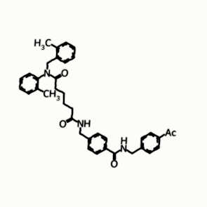 CC(=O)c1ccc(CNC(=O)c2ccc(CNC(=O)CCCCC(=O)N(Cc3ccccc3C)c3ccccc3C)cc2)cc1